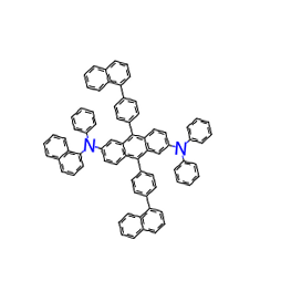 c1ccc(N(c2ccccc2)c2ccc3c(-c4ccc(-c5cccc6ccccc56)cc4)c4cc(N(c5ccccc5)c5cccc6ccccc56)ccc4c(-c4ccc(-c5cccc6ccccc56)cc4)c3c2)cc1